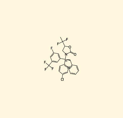 CC(F)(F)C1CN([C@@](Cc2ccccc2)(c2cc(F)cc(C(F)(F)F)c2)c2ccc(Cl)cn2)C(=O)O1